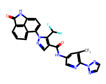 O=C(Nc1cnc(-n2nccn2)c(C(F)(F)F)c1)c1cnn(-c2ccc3c4c(cccc24)C(=O)N3)c1C(F)F